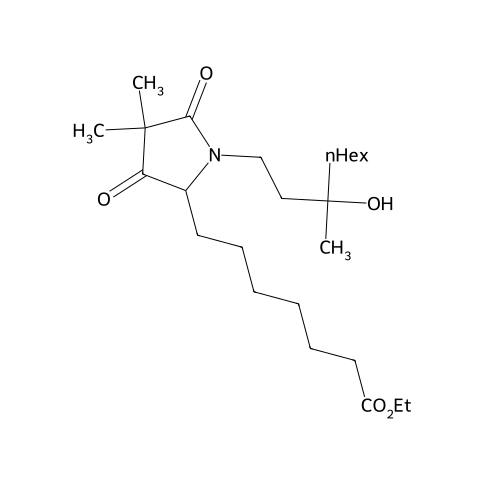 CCCCCCC(C)(O)CCN1C(=O)C(C)(C)C(=O)C1CCCCCCC(=O)OCC